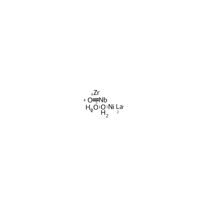 O.O.[La].[Ni].[O]=[Nb].[Zr]